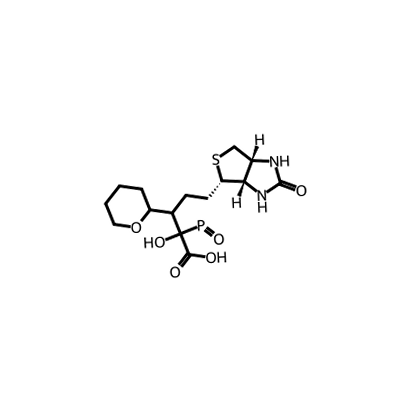 O=PC(O)(C(=O)O)C(CC[C@@H]1SC[C@@H]2NC(=O)N[C@@H]21)C1CCCCO1